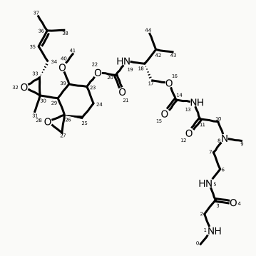 CNCC(=O)NCCN(C)CC(=O)NC(=O)OC[C@H](NC(=O)OC1CC[C@]2(CO2)C(C2(C)O[C@@H]2CC=C(C)C)C1OC)C(C)C